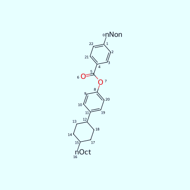 CCCCCCCCCc1ccc(C(=O)Oc2ccc(C3CCC(CCCCCCCC)CC3)cc2)cc1